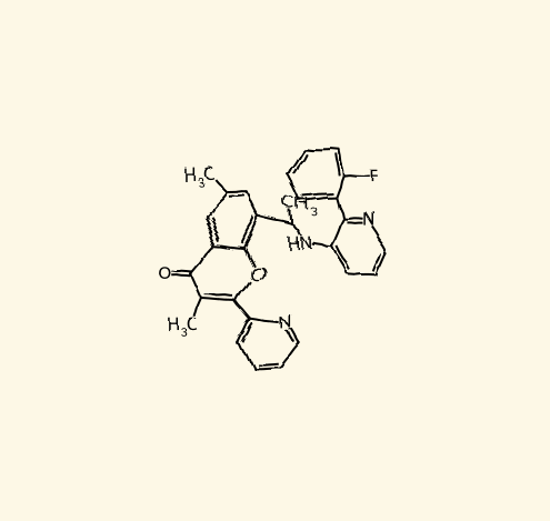 Cc1cc(C(C)Nc2cccnc2-c2ccccc2F)c2oc(-c3ccccn3)c(C)c(=O)c2c1